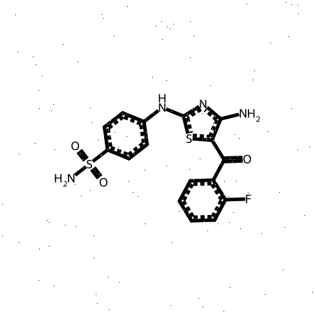 Nc1nc(Nc2ccc(S(N)(=O)=O)cc2)sc1C(=O)c1ccccc1F